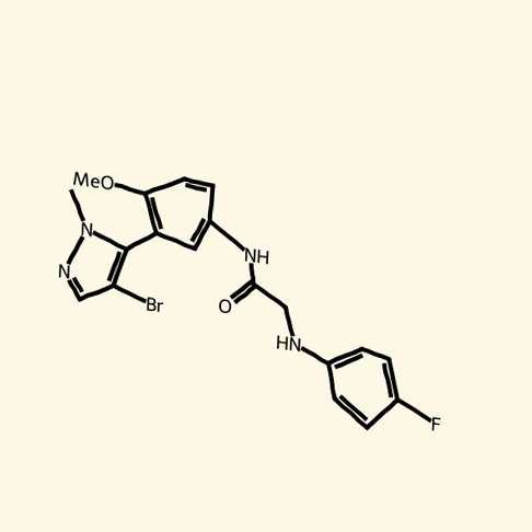 COc1ccc(NC(=O)CNc2ccc(F)cc2)cc1-c1c(Br)cnn1C